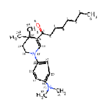 CCCCCCCC(=O)C1=CN(c2ccc(N(C)C)cc2)CCC1(C)C